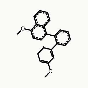 COC1=CC[CH]C(c2ccccc2-c2ccc(OC)c3ccccc23)=C1